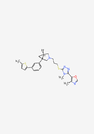 Cc1ccc(-c2cccc(C34C[C@@H]3CN(CCCSc3nnc(-c5ocnc5C)n3C)C4)c2)s1